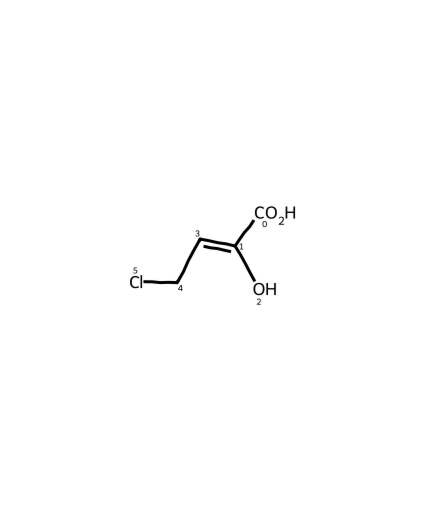 O=C(O)C(O)=CCCl